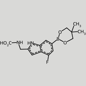 CC1(C)COB(c2cc(F)c3cc(CNC(=O)O)[nH]c3c2)OC1